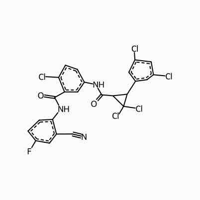 N#Cc1cc(F)ccc1NC(=O)c1cc(NC(=O)C2C(c3cc(Cl)cc(Cl)c3)C2(Cl)Cl)ccc1Cl